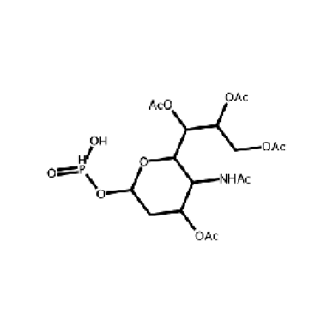 CC(=O)NC1C(OC(C)=O)CC(O[PH](=O)O)OC1C(OC(C)=O)C(COC(C)=O)OC(C)=O